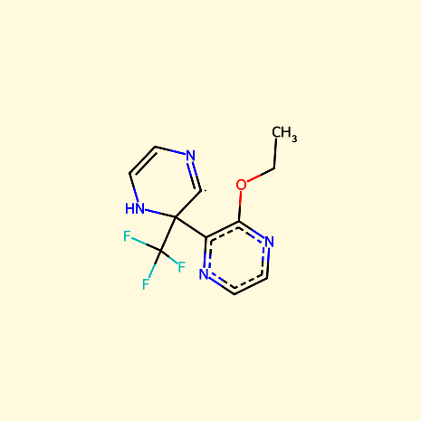 CCOc1nccnc1C1(C(F)(F)F)[C]=NC=CN1